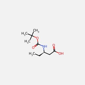 CC[C@H](CC(=O)O)NC(=O)OC(C)(C)C